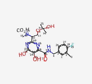 Cc1cc(CNC(=O)c2nc(C(COC(C)(C)O)N(C)C(=O)O)nc(O)c2O)ccc1F